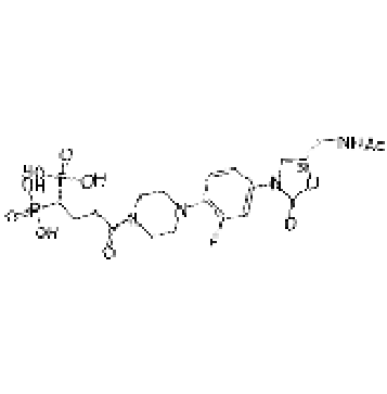 CC(=O)NC[C@H]1CN(c2ccc(N3CCN(C(=O)CCC(P(=O)(O)O)P(=O)(O)O)CC3)c(F)c2)C(=O)O1